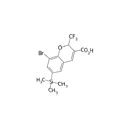 C[Si](C)(C)c1cc(Br)c2c(c1)C=C(C(=O)O)C(C(F)(F)F)O2